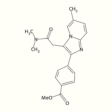 COC(=O)c1ccc(-c2nc3ccc(C)cn3c2CC(=O)N(C)C)cc1